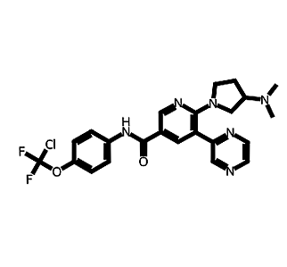 CN(C)C1CCN(c2ncc(C(=O)Nc3ccc(OC(F)(F)Cl)cc3)cc2-c2cnccn2)C1